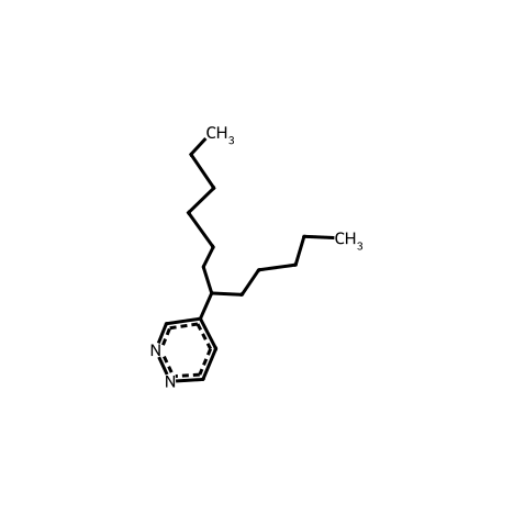 CCCCCCC(CCCCC)c1ccnnc1